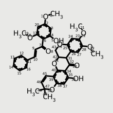 COc1cc(O)c(C(=O)C=Cc2ccccc2)c(OC)c1.COc1cc2c(cc1OC)C1C(=O)c3c(O)cc4c(c3OC1CO2)C=CC(C)(C)O4